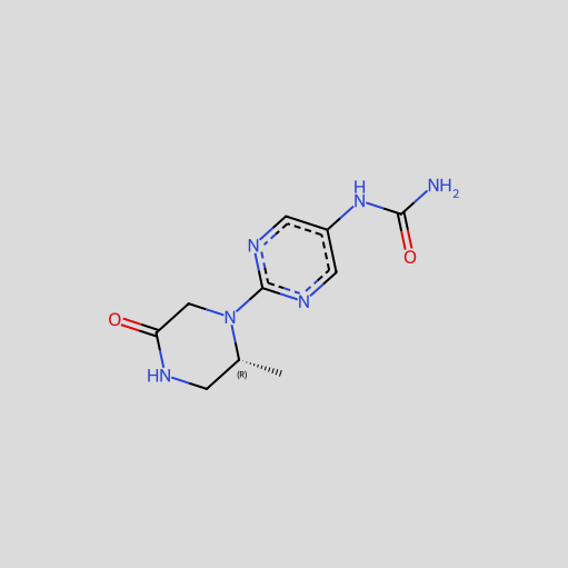 C[C@@H]1CNC(=O)CN1c1ncc(NC(N)=O)cn1